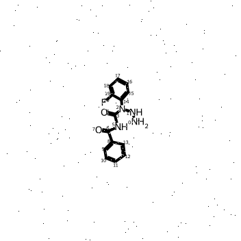 NNN(C(=O)NC(=O)c1ccccc1)c1ccccc1F